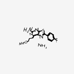 COCCCc1nc(N)nc2sc(-c3ccc(F)cc3)nc12.N